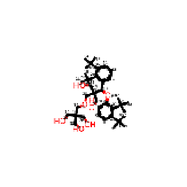 CC(C)(C)c1cccc(OC(c2cccc(C(C)(C)C)c2C(C)(C)C)C(CO)(CO)COCC(CO)(CO)CO)c1C(C)(C)C